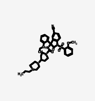 CCCN1CCN(C2CCN(C(=O)NC3(c4ccccc4OCC)C(=O)N(S(=O)(=O)c4ccccc4OC)c4ccc(C#N)cc43)CC2)CC1